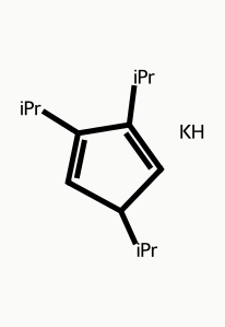 CC(C)C1=CC(C(C)C)C=C1C(C)C.[KH]